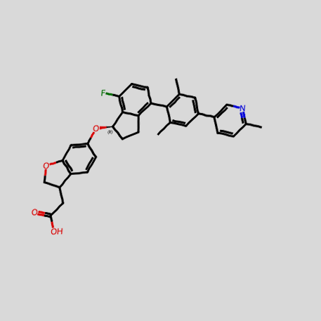 Cc1ccc(-c2cc(C)c(-c3ccc(F)c4c3CC[C@H]4Oc3ccc4c(c3)OCC4CC(=O)O)c(C)c2)cn1